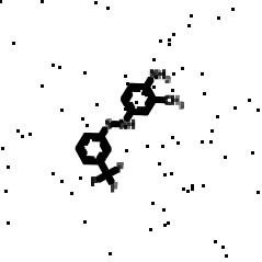 Cc1cc(NSc2cccc(C(F)(F)F)c2)ccc1N